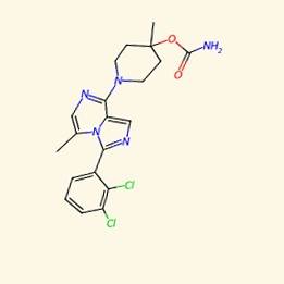 Cc1cnc(N2CCC(C)(OC(N)=O)CC2)c2cnc(-c3cccc(Cl)c3Cl)n12